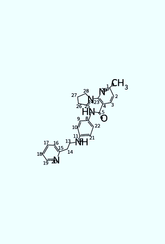 Cc1ccc(C(=O)Nc2ccc(NCCc3ccccn3)cc2)c(N2CCCC2)n1